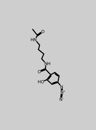 CC(=O)NCCCCNC(=O)c1ccc(N=[N+]=[N-])cc1O